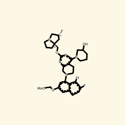 CCc1c(F)ccc2cc(OCOC)cc(N3CCc4c(nc(OC[C@@]56CCCN5C[C@H](F)C6)nc4N4CCCC(O)C4)C3)c12